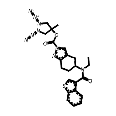 CCN(C(=O)c1csc2ccccc12)C1CCc2nn(C(=O)OC(C)(CN=[N+]=[N-])CN=[N+]=[N-])cc2C1